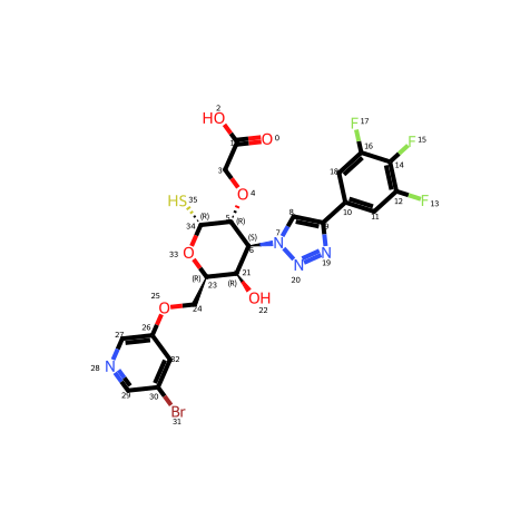 O=C(O)CO[C@@H]1[C@@H](n2cc(-c3cc(F)c(F)c(F)c3)nn2)[C@@H](O)[C@@H](COc2cncc(Br)c2)O[C@@H]1S